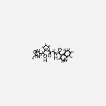 Cc1nc(C(O)C2CCCN2C(=O)CNC(=O)c2ccnc3ccccc23)no1